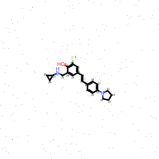 Oc1c(F)cc(/C=C/c2ccc(N3CCCC3)cc2)cc1CNC1CC1